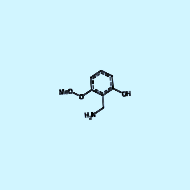 COOc1cccc(O)c1CN